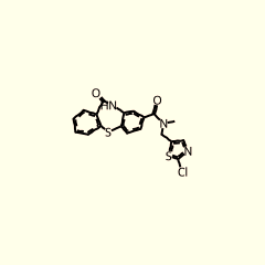 CN(Cc1cnc(Cl)s1)C(=O)c1ccc2c(c1)NC(=O)c1ccccc1S2